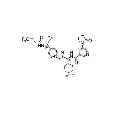 O=C(CCC(F)(F)F)N[C@@H](c1cnn2cc([C@@H](NC(=O)c3cncc(N4CCCC4=O)c3)C3CCC(F)(F)CC3)nc2c1)C1CC1